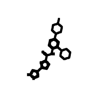 CN1CCN(c2ccc(NC(=O)c3ccc(-c4cn[nH]c4)o3)c(N3CCCCC3)c2)CC1